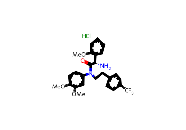 COc1ccc(N(CCc2ccc(C(F)(F)F)cc2)C(=O)[C@@H](N)c2ccccc2OC)cc1OC.Cl